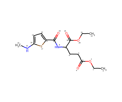 CCOC(=O)CCC(NC(=O)c1ccc(NC)s1)C(=O)OCC